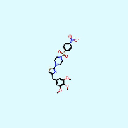 COc1cc(Cc2csc(N3CCN(S(=O)(=O)c4ccc([N+](=O)[O-])cc4)CC3)n2)cc(OC)c1OC